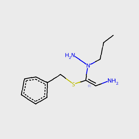 CCCN(N)/C(=C\N)SCc1ccccc1